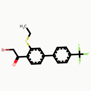 CCSc1cc(-c2ccc(C(F)(F)F)cc2)ccc1C(=O)CBr